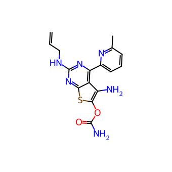 C=CCNc1nc(-c2cccc(C)n2)c2c(N)c(OC(N)=O)sc2n1